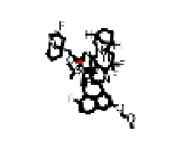 COCOc1cc(-c2nc3c4c(nc(OC[C@@]56CCCN5C[C@H](F)C6)nc4c2F)N2C[C@H]4CC[C@H](C4)[C@H]2CC3(F)F)c2c(C#C[Si](C(C)C)(C(C)C)C(C)C)c(F)ccc2c1